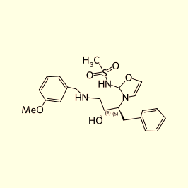 COc1cccc(CNC[C@@H](O)[C@H](Cc2ccccc2)N2C=COC2NS(C)(=O)=O)c1